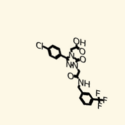 O=C(O)Cn1c(-c2ccc(Cl)cc2)nn(CC(=O)NCc2cccc(C(F)(F)F)c2)c1=O